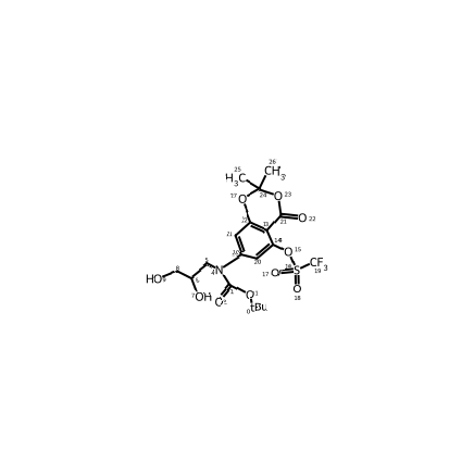 CC(C)(C)OC(=O)N(CC(O)CO)c1cc2c(c(OS(=O)(=O)C(F)(F)F)c1)C(=O)OC(C)(C)O2